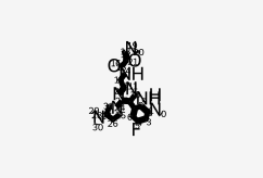 CNc1cc(F)cc2c1[nH]c1nc(CNC(=O)c3cnco3)nc(N3CCC(N(C)C)C3)c12